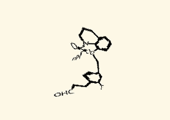 CCCS(=O)(=O)N1CCCc2cccc(OCc3ccc(CCC=O)c(F)c3)c21